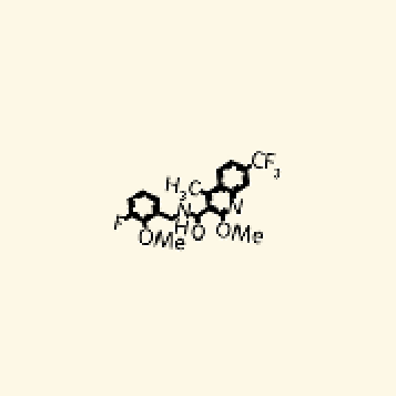 COc1nc2cc(C(F)(F)F)ccc2c(C)c1C(=O)NCc1cccc(F)c1OC